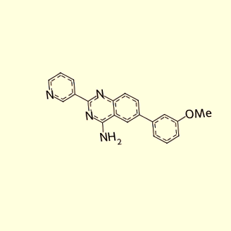 COc1cccc(-c2ccc3nc(-c4cccnc4)nc(N)c3c2)c1